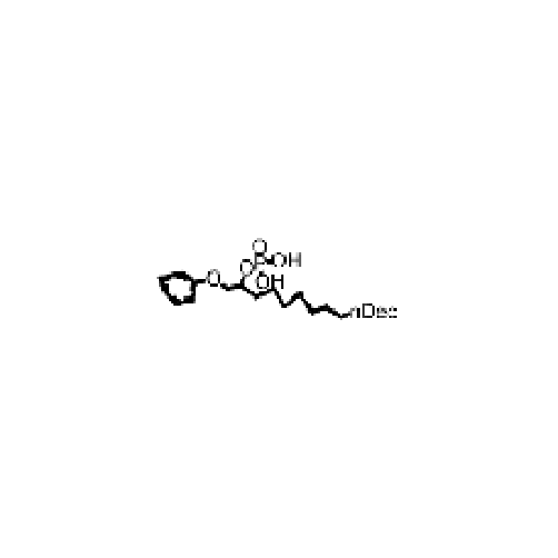 CCCCCCCCCCCCCCCCCC(COc1ccccc1)OP(=O)(O)O